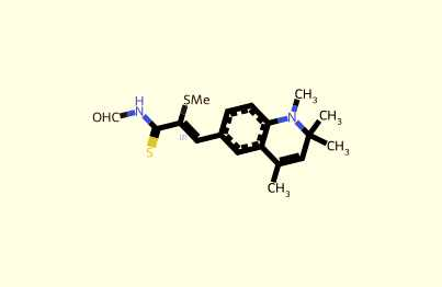 CS/C(=C\c1ccc2c(c1)C(C)=CC(C)(C)N2C)C(=S)NC=O